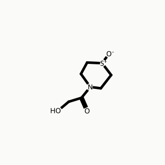 O=C(CO)N1CC[S+]([O-])CC1